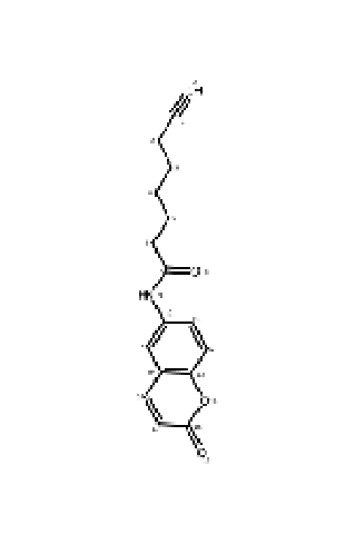 C#CCCCCCC(=O)Nc1ccc2oc(=O)ccc2c1